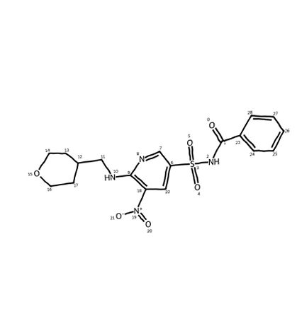 O=C(NS(=O)(=O)c1cnc(NCC2CCOCC2)c([N+](=O)[O-])c1)c1ccccc1